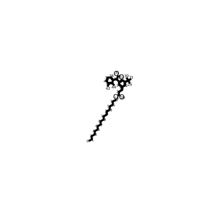 CCCCCCCCCCCCCCCCCCOC(=O)CCc1cc2c(c(C(C)(C)C)c1)OC(=O)C2c1cccc(C)c1C